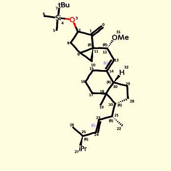 C=C1C(O[Si](C)(C)C(C)(C)C)CC2C[C@]12[C@@H](/C=C1\CCCC2(C)[C@@H]([C@H](C)/C=C/[C@H](C)C(C)C)CC[C@@H]12)OC